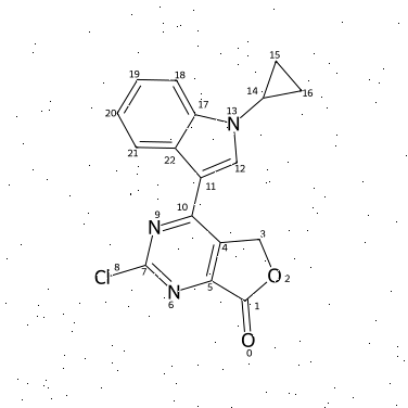 O=C1OCc2c1nc(Cl)nc2-c1cn(C2CC2)c2ccccc12